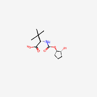 CC(C)(C)[C@H](NC(=O)O[C@@H]1CCC[C@H]1O)C(=O)O